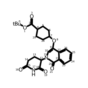 CC(C)(C)OC(=O)C1CCC(Oc2cn(C3CCC(=O)NC3=O)c(=O)c3ccccc23)CC1